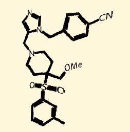 COCC1(S(=O)(=O)c2cccc(C)c2)CCN(Cc2cncn2Cc2ccc(C#N)cc2)CC1